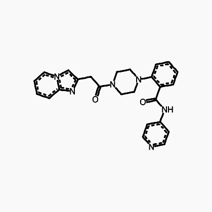 O=C(Nc1ccncc1)c1ccccc1N1CCN(C(=O)Cc2cn3ccccc3n2)CC1